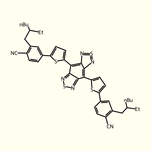 CCCCC(CC)Cc1cc(-c2ccc(-c3c4c(c(-c5ccc(-c6ccc(C#N)c(CC(CC)CCCC)c6)s5)c5nsnc35)N=S=N4)s2)ccc1C#N